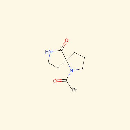 CC(C)C(=O)N1CCCC12CCNC2=O